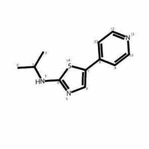 CC(C)Nc1ncc(-c2ccncc2)s1